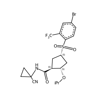 CC(C)O[C@H]1C[C@@H](S(=O)(=O)c2ccc(Br)cc2C(F)(F)F)C[C@@H]1C(=O)NC1(C#N)CC1